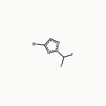 FC(F)n1ncc(Br)n1